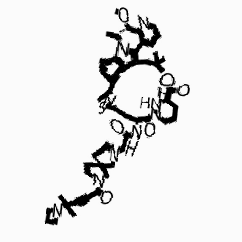 CCn1c(-c2cccnc2[C@H](C)OC)c2c3cc(ccc31)-c1csc(n1)C[C@H](NC(=O)CN1CC[C@@]3(CCN(C(=O)C#CC(C)(C)N4CCC4)C3)C1)C(=O)N1CCC[C@H](N1)C(=O)OCC(C)(C)C2